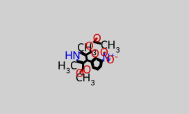 COC(=O)C1=C(C)NC(C)=C(C(=O)OC2OC2C)C1c1cccc([N+](=O)[O-])c1